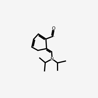 CC(C)N(C=C1CC=CC=C1[C]=O)C(C)C